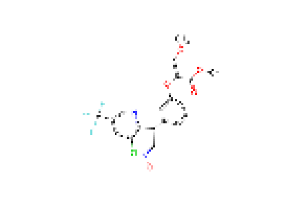 COC=C(Oc1cccc(C(C=NO)c2ncc(C(F)(F)F)cc2Cl)c1)C(=O)OC